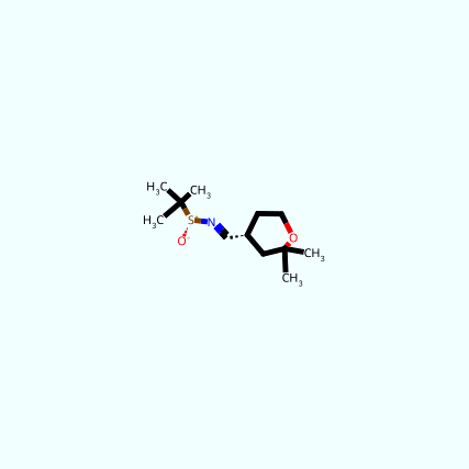 CC1(C)C[C@H](/C=N/[S@+]([O-])C(C)(C)C)CCO1